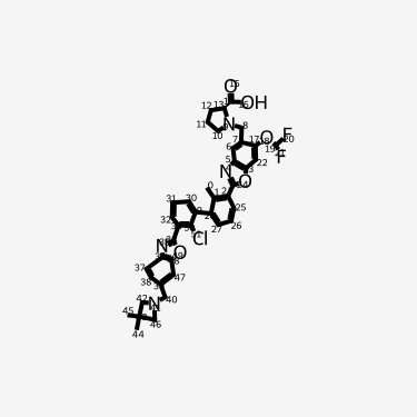 Cc1c(-c2nc3cc(CN4CCC[C@H]4C(=O)O)c(OC(F)F)cc3o2)cccc1-c1cccc(-c2nc3ccc(CN4CC(C)(C)C4)cc3o2)c1Cl